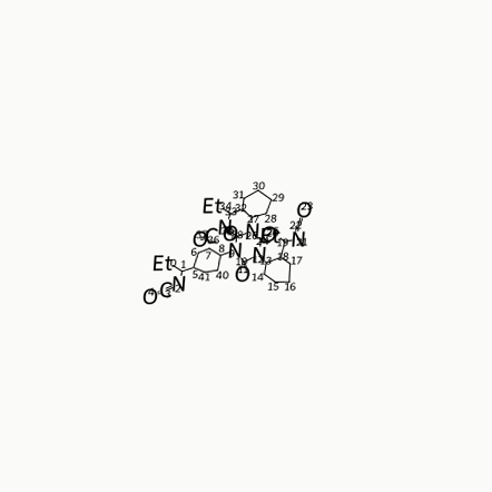 CCC(N=C=O)C1CCC(n2c(=O)n(C3CCCCC3C(CC)N=C=O)c(=O)n(C3CCCCC3C(CC)N=C=O)c2=O)CC1